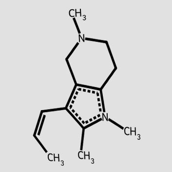 C/C=C\c1c2c(n(C)c1C)CCN(C)C2